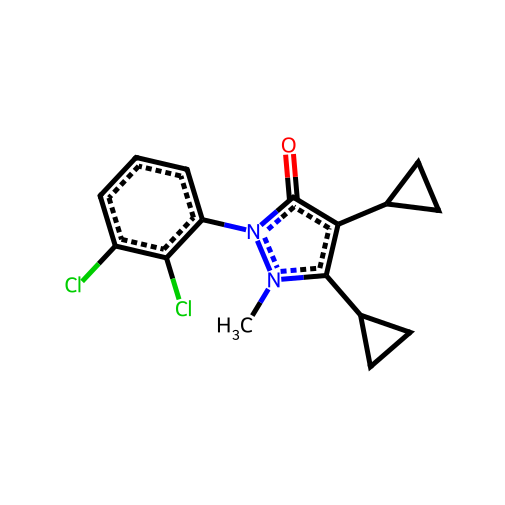 Cn1c(C2CC2)c(C2CC2)c(=O)n1-c1cccc(Cl)c1Cl